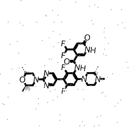 C[C@@H]1CN(c2ncc(-c3c(F)cc(N4CCN(C)[C@@H](C)C4)c(NC(=O)c4c[nH]c(=O)cc4C(F)F)c3F)cn2)C[C@@H](C)O1